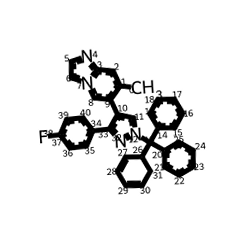 Cc1cc2nccn2cc1-c1cn(C(c2ccccc2)(c2ccccc2)C2C=CC=CC2)nc1-c1ccc(F)cc1